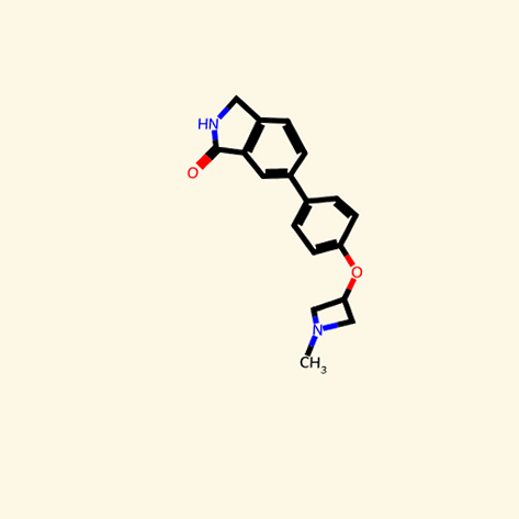 CN1CC(Oc2ccc(-c3ccc4c(c3)C(=O)NC4)cc2)C1